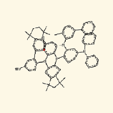 Cc1cc2c3c(c1)N(c1ccc(C(C)(C)C)cc1-c1ccc4c(c1)C(C)(C)CCC4(C)C)c1cc4c(cc1B3c1ccc(N(c3ccccc3)c3ccccc3)cc1N2c1cc(-c2ccccc2)ccc1C)C(C)(C)CC4(C)C